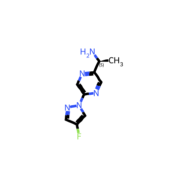 C[C@H](N)c1cnc(-n2cc(F)cn2)cn1